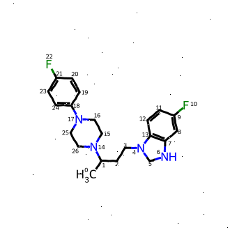 CC(CCN1[CH]Nc2cc(F)ccc21)N1CCN(c2ccc(F)cc2)CC1